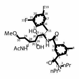 CCCN(CCC)C(=O)c1cc(C)cc(C(=O)N[C@@H](Cc2cc(F)cc(F)c2)[C@@H](O)[C@H](O)[C@@H](CCOC)NC(C)=O)c1